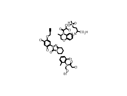 C#CCOc1cc(-n2nc3n(c2=O)CCCC3)c(Cl)cc1Cl.CC1COc2ccccc2N1C(=O)C(Cl)Cl.CCOCN(C(=O)CCl)c1c(C)cccc1CC.CP(=O)(O)CCC(N)C(=O)O